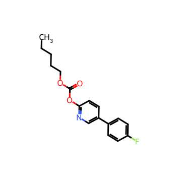 CCCCCOC(=O)Oc1ccc(-c2ccc(F)cc2)cn1